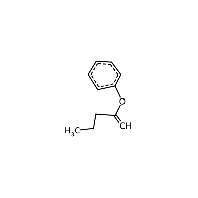 [CH]=C(CCC)Oc1ccccc1